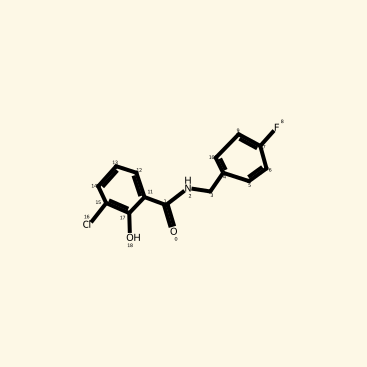 O=C(NCc1ccc(F)cc1)c1cccc(Cl)c1O